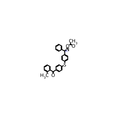 CC(=O)O/N=C(\c1ccccc1)c1ccc(Sc2ccc(C(=O)c3ccccc3C)cc2)cc1